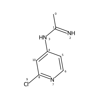 CC(=N)Nc1ccnc(Cl)c1